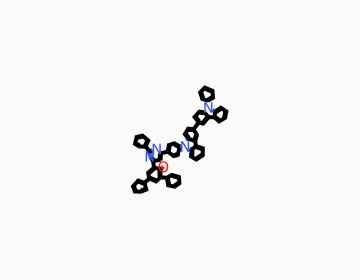 c1ccc(-c2cc(-c3ccccc3)c3oc4c(-c5ccc(-n6c7ccccc7c7cc(-c8ccc9c(c8)c8ccccc8n9-c8ccccc8)ccc76)cc5)nc(-c5ccccc5)nc4c3c2)cc1